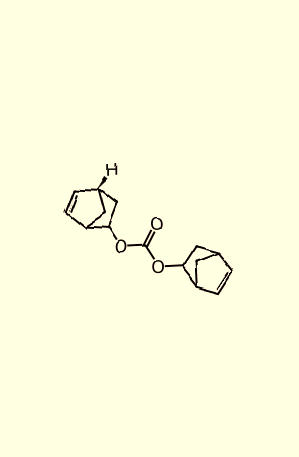 O=C(OC1CC2C=CC1C2)OC1C[C@H]2C=CC1C2